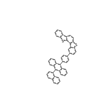 c1ccc2c(-c3c4ccccc4c(-c4ccc(-c5ccc6sc7ccc8c9ccccc9sc8c7c6c5)cc4)c4ccccc34)cccc2c1